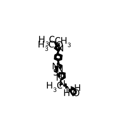 CN(CCN1C[C@@H]2C[C@H]1CO2)c1ccc2c(n1)sc1nc(-c3ccc(-c4cc(C(C)(C)C)on4)cc3)cn12